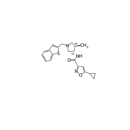 C[C@@H]1CN(Cc2cc3ccccc3s2)C[C@H]1NC(=O)c1cc(C2CC2)on1